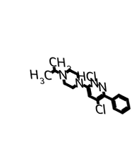 CC(C)N1CCN(c2cc(Cl)c(-c3ccccc3)nn2)CC1.Cl